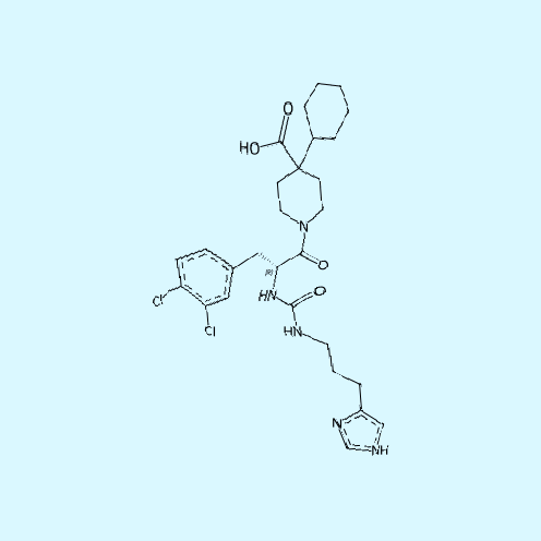 O=C(NCCCc1c[nH]cn1)N[C@H](Cc1ccc(Cl)c(Cl)c1)C(=O)N1CCC(C(=O)O)(C2CCCCC2)CC1